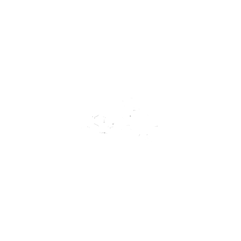 Nc1ncnc2c1ncn2[C@H]1C[C@H](O)[C@@H](COP(=O)(O)OP(=O)(O)OP(=O)(O)OP(=O)(O)OC[C@H]2OC[C@H](O)[C@@H]2O)O1